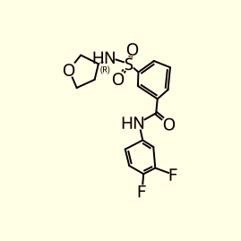 O=C(Nc1ccc(F)c(F)c1)c1cccc(S(=O)(=O)N[C@@H]2CCOC2)c1